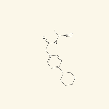 C#CC(I)OC(=O)Cc1ccc(C2CCCCC2)cc1